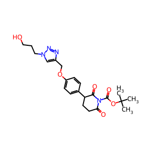 CC(C)(C)OC(=O)N1C(=O)CCC(c2ccc(OCc3cn(CCCO)nn3)cc2)C1=O